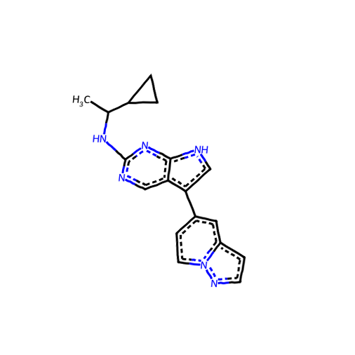 CC(Nc1ncc2c(-c3ccn4nccc4c3)c[nH]c2n1)C1CC1